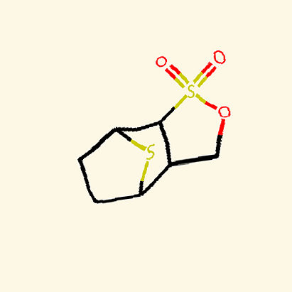 O=S1(=O)OCC2C3CCC(S3)C21